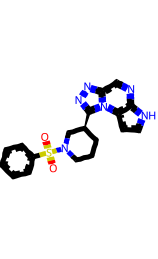 O=S(=O)(c1ccccc1)N1CCC[C@H](c2nnc3cnc4[nH]ccc4n23)C1